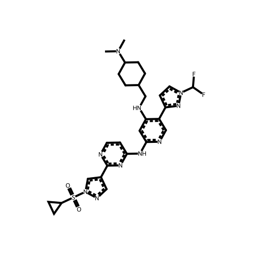 CN(C)C1CCC(CNc2cc(Nc3ccnc(-c4cnn(S(=O)(=O)C5CC5)c4)n3)ncc2-c2ccn(C(F)F)n2)CC1